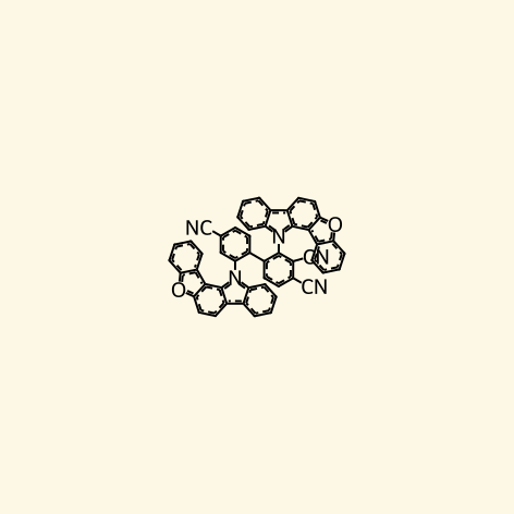 N#Cc1ccc(-c2ccc(C#N)c(C#N)c2-n2c3ccccc3c3ccc4oc5ccccc5c4c32)c(-n2c3ccccc3c3ccc4oc5ccccc5c4c32)c1